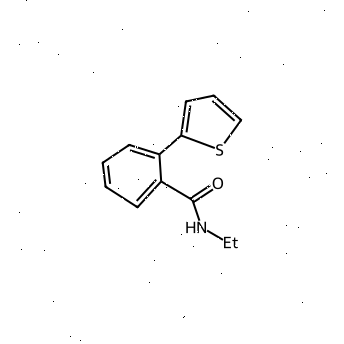 CCNC(=O)c1ccccc1-c1cccs1